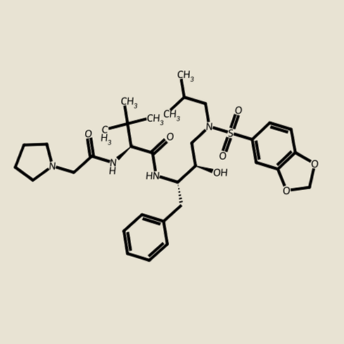 CC(C)CN(C[C@@H](O)[C@H](Cc1ccccc1)NC(=O)[C@@H](NC(=O)CN1CCCC1)C(C)(C)C)S(=O)(=O)c1ccc2c(c1)OCO2